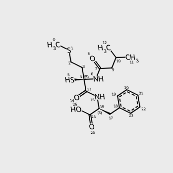 CSCC[C@](S)(NC(=O)CC(C)C)C(=O)N[C@@H](Cc1ccccc1)C(=O)O